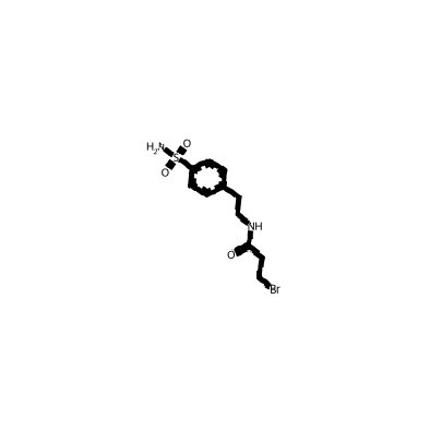 NS(=O)(=O)c1ccc(CCNC(=O)CCBr)cc1